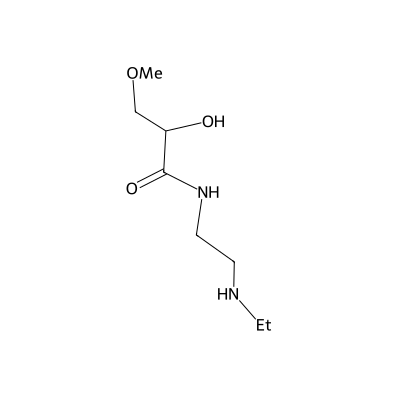 CCNCCNC(=O)C(O)COC